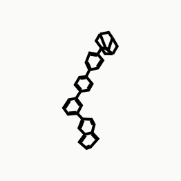 c1cc(-c2ccc(-c3ccc(C45CC6CC(CC(C6)C4)C5)cc3)cc2)cc(-c2ccc3ccccc3c2)c1